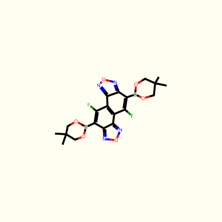 CC1(C)COB(c2c(F)c3c4nonc4c(B4OCC(C)(C)CO4)c(F)c3c3nonc23)OC1